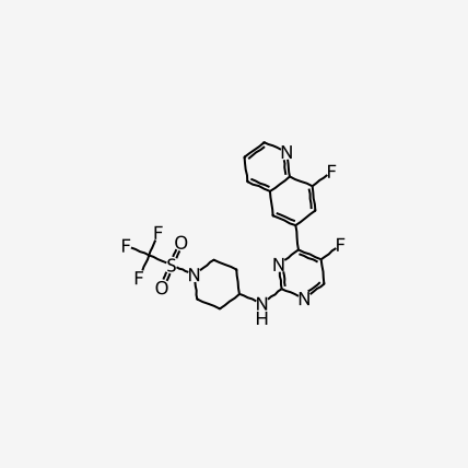 O=S(=O)(N1CCC(Nc2ncc(F)c(-c3cc(F)c4ncccc4c3)n2)CC1)C(F)(F)F